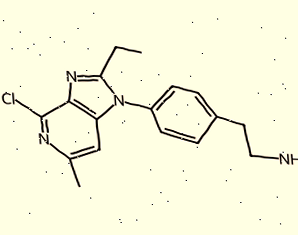 CCc1nc2c(Cl)nc(C)cc2n1-c1ccc(CCN)cc1